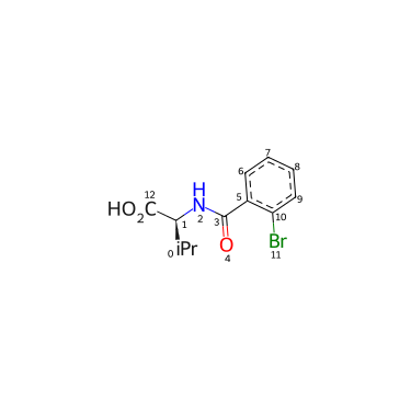 CC(C)[C@H](NC(=O)c1ccccc1Br)C(=O)O